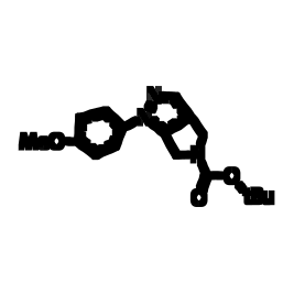 COc1ccc(-n2ncc3c2CN(C(=O)OC(C)(C)C)C3)cc1